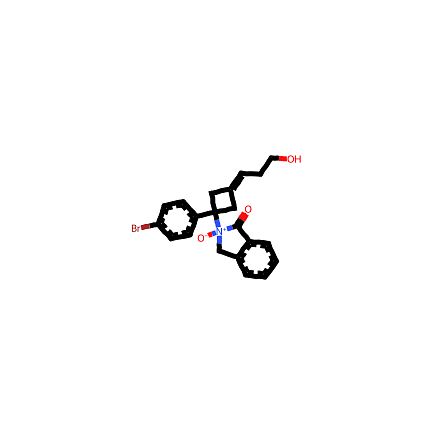 O=C1c2ccccc2C[N+]1([O-])C1(c2ccc(Br)cc2)CC(=CCCO)C1